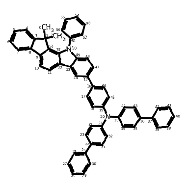 CC1(C)c2ccccc2-c2ccc3c4cc(-c5ccc(N(c6ccc(-c7ccccc7)cc6)c6ccc(-c7ccccc7)cc6)cc5)ccc4n(-c4ccccc4)c3c21